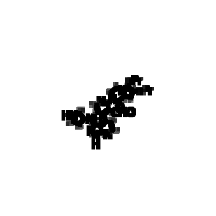 CCCc1cc2n(c1CCC)CCN(c1nccc(-c3ccnc4[nH]nc(NC5CCNC5)c34)c1C=O)C2=O